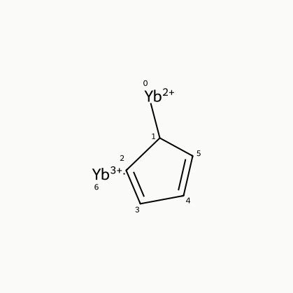 [Yb+2][CH]1C=CC=C1.[Yb+3]